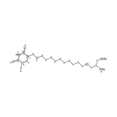 CC(=O)OCC(COCCCCCCCCCCOCn1cc(F)c(=O)[nH]c1=O)OC(C)=O